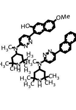 CN(c1ccc(-c2ccc3ccccc3c2)nn1)C1CC(C)(C)NC(C)(C)C1.COc1ccc2cc(-c3ccc(N(C)C4CC(C)(C)NC(C)(C)C4)nn3)c(O)cc2c1